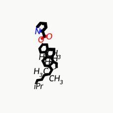 CC(C)CCC[C@@H](C)[C@H]1CC[C@H]2[C@@H]3CC=C4C[C@@H](OC(=O)c5ccccn5)CC[C@]4(C)[C@H]3CC[C@]12C